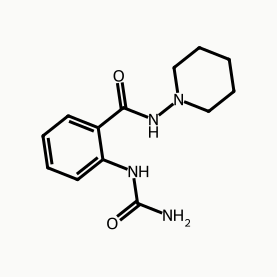 NC(=O)Nc1ccccc1C(=O)NN1CCCCC1